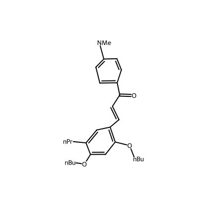 CCCCOc1cc(OCCCC)c(CCC)cc1C=CC(=O)c1ccc(NC)cc1